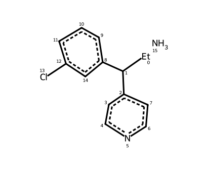 CCC(c1ccncc1)c1cccc(Cl)c1.N